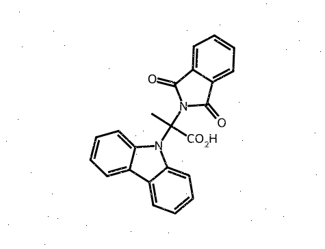 CC(C(=O)O)(N1C(=O)c2ccccc2C1=O)n1c2ccccc2c2ccccc21